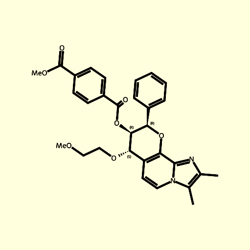 COCCO[C@H]1c2ccn3c(C)c(C)nc3c2O[C@H](c2ccccc2)[C@@H]1OC(=O)c1ccc(C(=O)OC)cc1